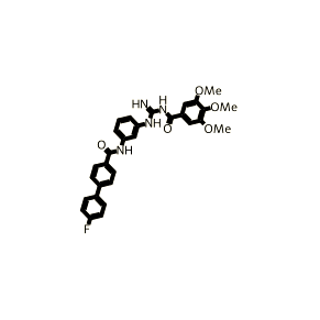 COc1cc(C(=O)NC(=N)Nc2cccc(NC(=O)c3ccc(-c4ccc(F)cc4)cc3)c2)cc(OC)c1OC